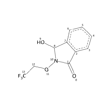 O=C1c2ccccc2C(O)N1OCC(F)(F)F